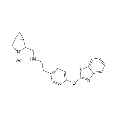 CC(=O)N1CC2CC2C1CNCCc1ccc(Oc2nc3ccccc3s2)cc1